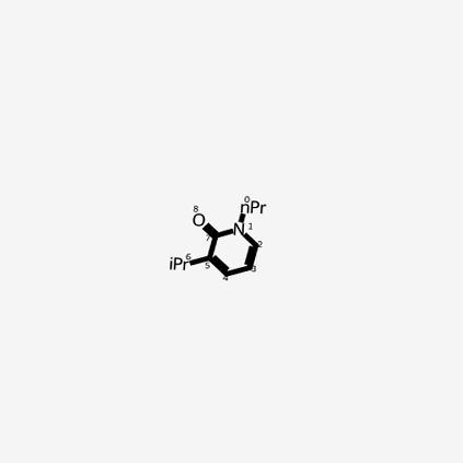 CCCn1cccc(C(C)C)c1=O